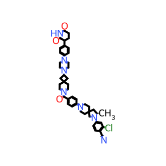 C[C@H]1CC2(CCN(c3ccc(C(=O)N4CCC5(CC4)CC(N4CCN(c6ccc(C7CCC(=O)NC7=O)cc6)CC4)C5)cc3)CC2)CN1c1ccc(C#N)c(Cl)c1